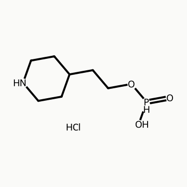 Cl.O=[PH](O)OCCC1CCNCC1